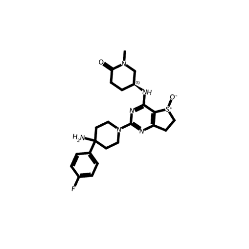 CN1C[C@@H](Nc2nc(N3CCC(N)(c4ccc(F)cc4)CC3)nc3c2[S+]([O-])CC3)CCC1=O